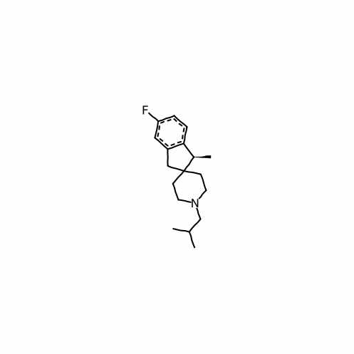 CC(C)CN1CCC2(CC1)Cc1cc(F)ccc1[C@H]2C